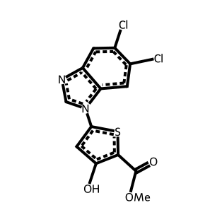 COC(=O)c1sc(-n2cnc3cc(Cl)c(Cl)cc32)cc1O